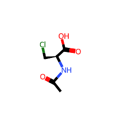 CC(=O)N[C@@H](CCl)C(=O)O